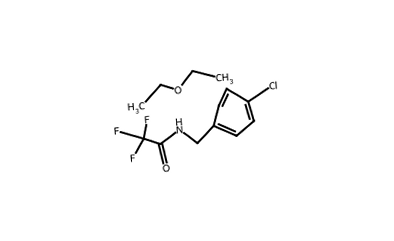 CCOCC.O=C(NCc1ccc(Cl)cc1)C(F)(F)F